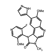 COc1cc2ncc3c(c2cc1-c1ccn[nH]1)n(-c1c(F)cncc1OC)c(=O)n3C